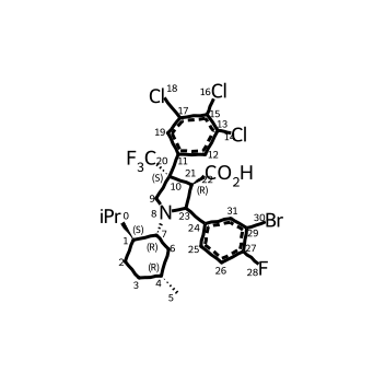 CC(C)[C@@H]1CC[C@@H](C)C[C@H]1N1C[C@](c2cc(Cl)c(Cl)c(Cl)c2)(C(F)(F)F)[C@@H](C(=O)O)C1c1ccc(F)c(Br)c1